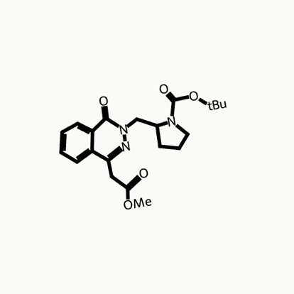 COC(=O)Cc1nn(CC2CCCN2C(=O)OC(C)(C)C)c(=O)c2ccccc12